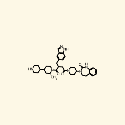 C[C@@H]1CC(C2CCNCC2)CCN1C(=O)C(CC(=O)N1CCC(N2CCc3ccccc3NC2=O)CC1)Cc1ccc2[nH]ncc2c1